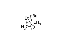 CCCCC(CC)CNc1c(C)cccc1C